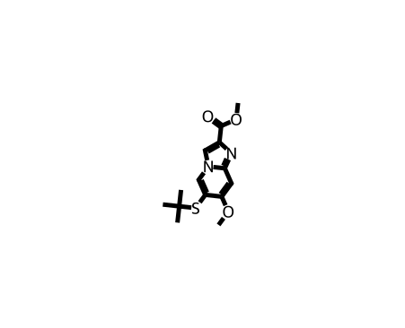 COC(=O)c1cn2cc(SC(C)(C)C)c(OC)cc2n1